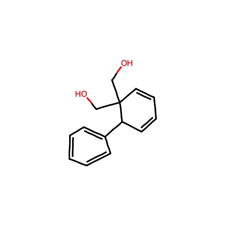 OCC1(CO)C=CC=CC1c1ccccc1